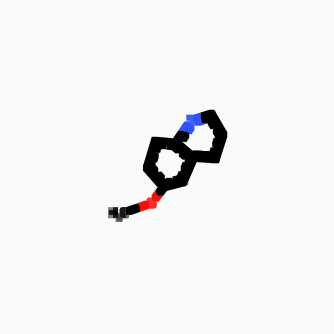 COc1[c]c2cccnc2cc1